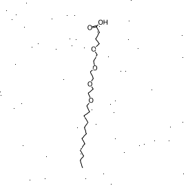 CCCCCCCCCCCCOCCOCCOCCOCCCC(=O)O